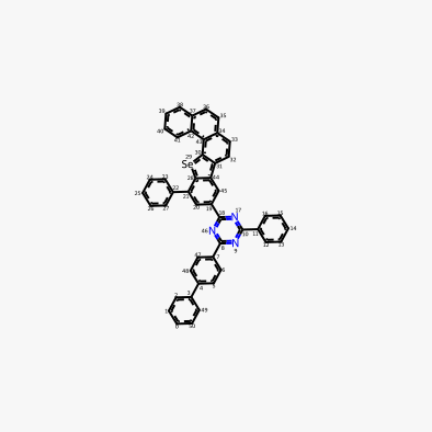 c1ccc(-c2ccc(-c3nc(-c4ccccc4)nc(-c4cc(-c5ccccc5)c5[se]c6c(ccc7ccc8ccccc8c76)c5c4)n3)cc2)cc1